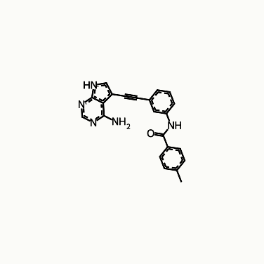 Cc1ccc(C(=O)Nc2cccc(C#Cc3c[nH]c4ncnc(N)c34)c2)cc1